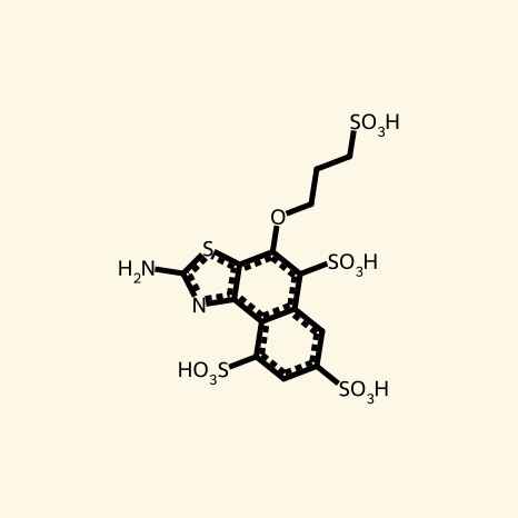 Nc1nc2c(s1)c(OCCCS(=O)(=O)O)c(S(=O)(=O)O)c1cc(S(=O)(=O)O)cc(S(=O)(=O)O)c12